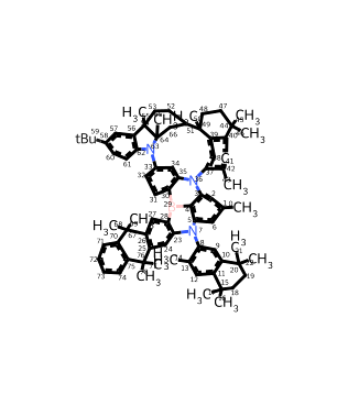 Cc1cc2c3c(c1)N(c1cc4c(cc1C)C(C)(C)CCC4(C)C)c1cc4c(cc1B3c1ccc3cc1N2c1cc2c(cc1C)C(C)(C)CCC2(C)C1CCC2(C)c5cc(C(C)(C)C)ccc5N3C2(C)C1)C(C)(C)c1ccccc1C4(C)C